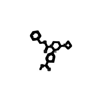 COC(=O)c1ccc([C@@H]2CC(N3CCC3)CCN2C(=O)OCc2ccccc2)cc1